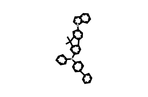 CC1(C)c2cc(N(c3ccccc3)c3ccc(-c4ccccc4)cc3)ccc2-c2ccc(-n3ccc4ccccc43)cc21